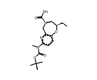 CC[C@@H]1CN(C(=O)O)Cc2nc(N(C)C(=O)OC(C)(C)C)ccc2O1